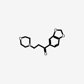 O=C(CCN1CCOCC1)c1ccc2c(c1)OCO2